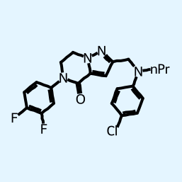 CCCN(Cc1cc2n(n1)CCN(c1ccc(F)c(F)c1)C2=O)c1ccc(Cl)cc1